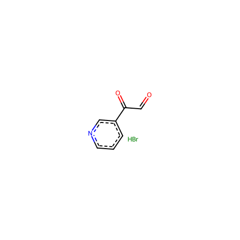 Br.O=CC(=O)c1cccnc1